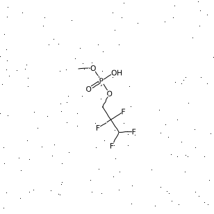 COP(=O)(O)OCC(F)(F)C(F)F